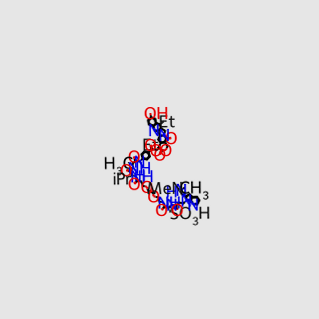 CCc1c2c(nc3ccc(O)cc13)-c1cc3c(c(=O)n1C2)COC(=O)[C@@]3(CC)OC(=O)c1ccc(NC(=O)[C@H](C)NC(=O)[C@@H](NC(=O)CCOCCOCCNC(=O)[C@H](CS(=O)(=O)O)NC(=O)CCn2c(CN(C)NC)cc3cccnc32)C(C)C)cc1